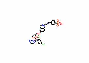 O=S(=O)(O)c1ccc(/C=C/CN2CCc3cc(OC[C@@H]4CCO[C@@](Cn5ccnc5)(c5ccc(Cl)cc5Cl)O4)ccc3C2)cc1